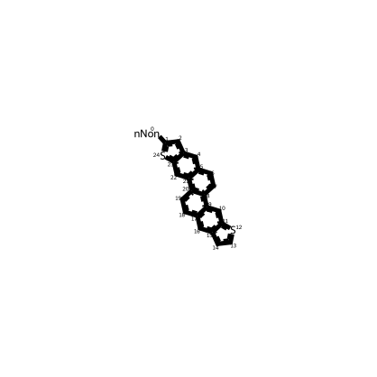 CCCCCCCCCc1cc2cc3ccc4c5cc6sccc6cc5ccc4c3cc2s1